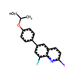 CCCCCCCCC(C)Oc1ccc(-c2cc(F)c3nc(I)ccc3c2)cc1